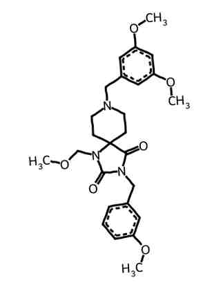 COCN1C(=O)N(Cc2cccc(OC)c2)C(=O)C12CCN(Cc1cc(OC)cc(OC)c1)CC2